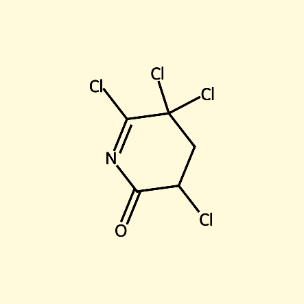 O=C1N=C(Cl)C(Cl)(Cl)CC1Cl